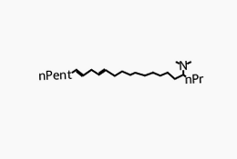 CCCCCC=CCC=CCCCCCCCCCC(CCC)N(C)C